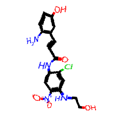 Nc1ccc(O)cc1C=CC(=O)Nc1cc([N+](=O)[O-])c(NCCO)cc1Cl